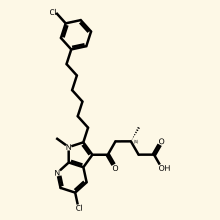 C[C@H](CC(=O)O)CC(=O)c1c(CCCCCCc2cccc(Cl)c2)n(C)c2ncc(Cl)cc12